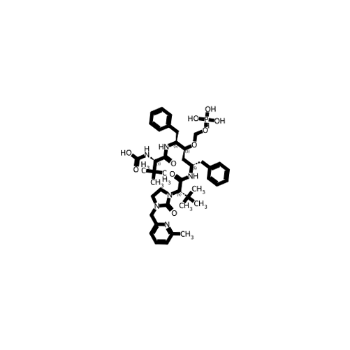 Cc1cccc(CN2CCN([C@H](C(=O)N[C@@H](Cc3ccccc3)C[C@H](OCO[PH](O)(O)O)[C@H](Cc3ccccc3)NC(=O)[C@@H](NC(=O)O)C(C)(C)C)C(C)(C)C)C2=O)n1